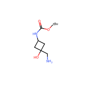 CC(C)(C)OC(=O)NC1CC(O)(CN)C1